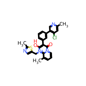 Cc1cc(Cl)c(-c2cccc(-c3c(O)[n+](Cc4cnc(C)s4)c4c(C)cccn4c3=O)c2)cn1